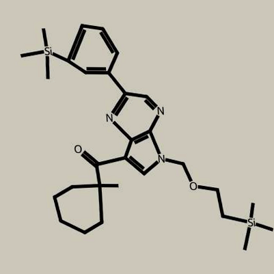 CC1(C(=O)c2cn(COCC[Si](C)(C)C)c3ncc(-c4cccc([Si](C)(C)C)c4)nc23)CCCCC1